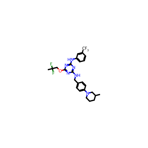 CC1CCCN(c2ccc(CNc3nc(Nc4cccc(C(F)(F)F)c4)nc(OCC(C)(F)F)n3)cc2)C1